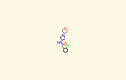 O=C(Cc1ccccc1Cl)NC1=CCN(C2CCOCC2)C=C1